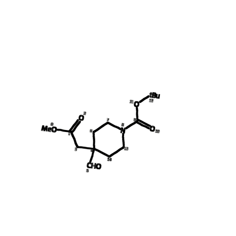 COC(=O)CC1(C=O)CCN(C(=O)OC(C)(C)C)CC1